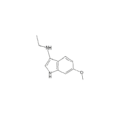 CCNc1c[nH]c2cc(OC)ccc12